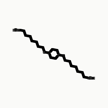 CCCCCCCCCCCCCCCCCON1CCN(OCCCCCCCCCCCCCCCCC)CC1